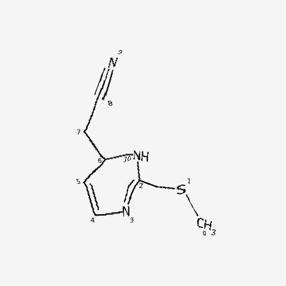 CSC1=NC=CC(CC#N)N1